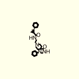 O=C(NCCN1CCC2(CC1)C(=O)NCN2c1ccccc1)C1C[C@H]1c1ccccc1